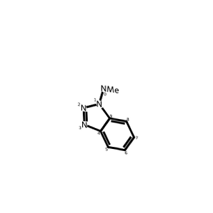 CNn1nnc2ccccc21